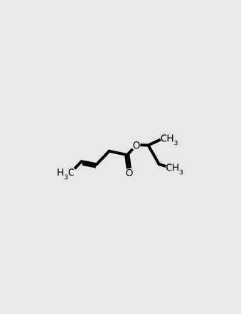 CC=CCC(=O)OC(C)CC